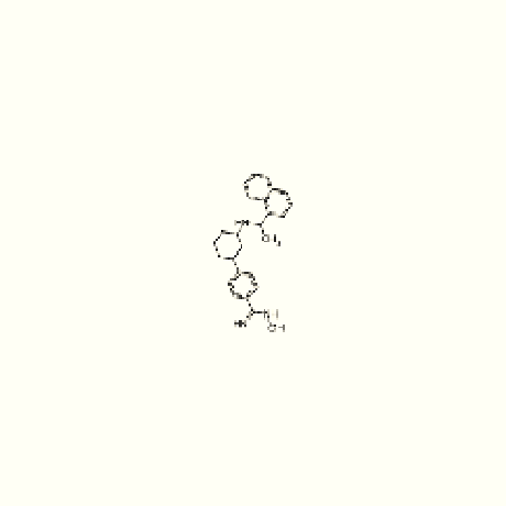 CC(NC1CCCC(c2ccc(C(=N)NO)cc2)C1)c1cccc2ccccc12